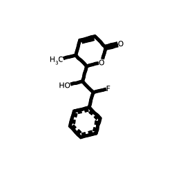 CC1C=CC(=O)OC1C(O)C(F)c1ccccc1